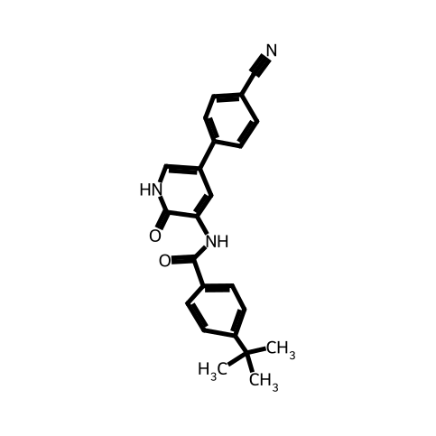 CC(C)(C)c1ccc(C(=O)Nc2cc(-c3ccc(C#N)cc3)c[nH]c2=O)cc1